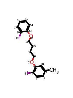 Cc1ccc(I)c(OCCCCOc2ccccc2I)c1